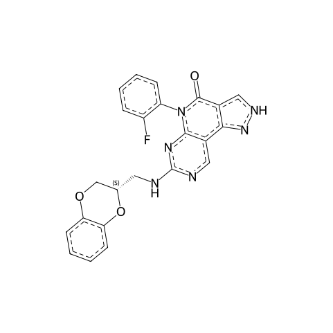 O=c1c2c[nH]nc2c2cnc(NC[C@H]3COc4ccccc4O3)nc2n1-c1ccccc1F